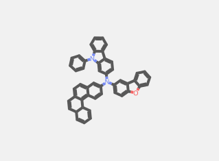 C1=CC2C=Cc3ccc4cc(N(c5ccc6oc7ccccc7c6c5)c5ccc6c7ccccc7n(-c7ccccc7)c6c5)ccc4c3C2C=C1